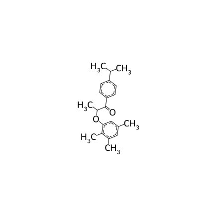 Cc1cc(C)c(C)c(OC(C)C(=O)c2ccc(C(C)C)cc2)c1